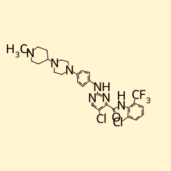 CN1CCC(N2CCN(c3ccc(Nc4ncc(Cl)c(C(=O)Nc5c(Cl)cccc5C(F)(F)F)n4)cc3)CC2)CC1